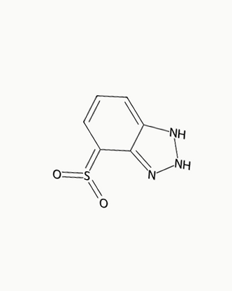 O=S(=O)=c1cccc2[nH][nH]nc1-2